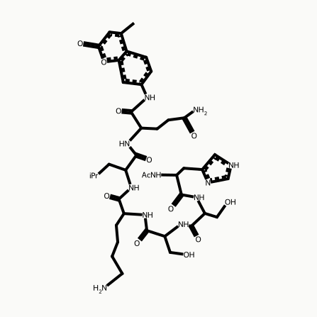 CC(=O)NC(Cc1c[nH]cn1)C(=O)NC(CO)C(=O)NC(CO)C(=O)NC(CCCCN)C(=O)NC(CC(C)C)C(=O)NC(CCC(N)=O)C(=O)Nc1ccc2c(C)cc(=O)oc2c1